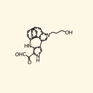 O=CC(=O)c1[nH]cc(-c2cn(CCCO)c3ccccc23)c1Nc1ccccc1